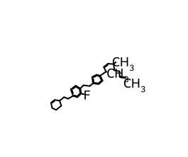 C/C=C/CCC(C)/C=C\C(C)c1ccc(CCc2ccc(CCC3C=CCCC3)cc2F)cc1